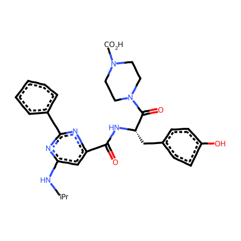 CC(C)Nc1cc(C(=O)N[C@@H](Cc2ccc(O)cc2)C(=O)N2CCN(C(=O)O)CC2)nc(-c2ccccc2)n1